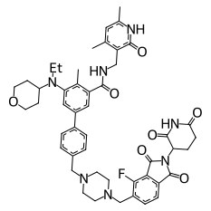 CCN(c1cc(-c2ccc(CN3CCN(Cc4ccc5c(c4F)C(=O)N(C4CCC(=O)NC4=O)C5=O)CC3)cc2)cc(C(=O)NCc2c(C)cc(C)[nH]c2=O)c1C)C1CCOCC1